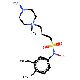 COc1cc(N(O)S(=O)(=O)CCC[N+]2(C)CCN(C)CC2)ccc1NC(C)=O